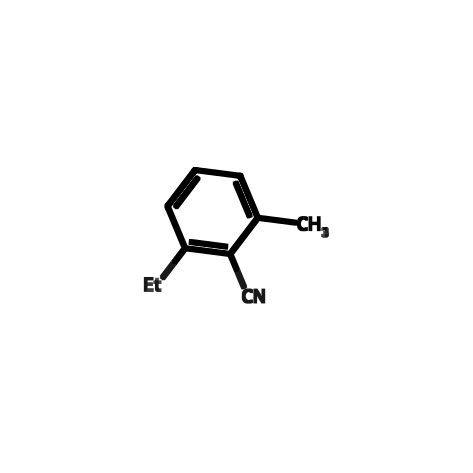 CCc1cccc(C)c1C#N